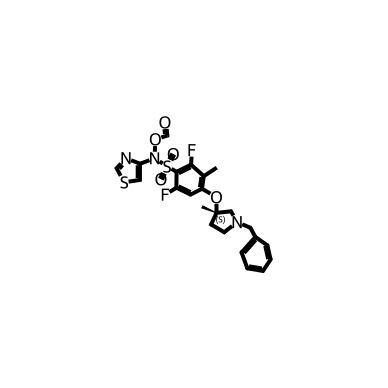 Cc1c(O[C@@]2(C)CCN(Cc3ccccc3)C2)cc(F)c(S(=O)(=O)N(OC=O)c2cscn2)c1F